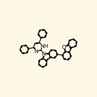 C1=C(c2ccccc2)NC(n2c3ccccc3c3cc(-c4cccc5c4oc4ccccc45)ccc32)N=C1c1ccccc1